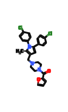 Cc1c(CN2CCN(C(=O)c3ccco3)CC2)cc(-c2ccc(Cl)cc2)n1-c1ccc(Cl)cc1